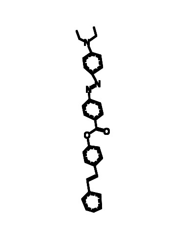 CCN(CC)c1ccc(N=Nc2ccc(C(=O)Oc3ccc(C=Cc4ccccc4)cc3)cc2)cc1